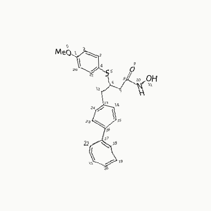 COc1ccc(SC(CC(=O)NO)Cc2ccc(-c3ccccc3)cc2)cc1